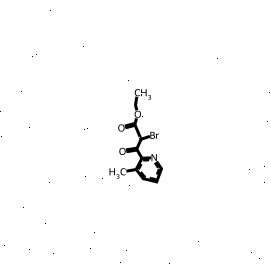 CCOC(=O)C(Br)C(=O)c1ncccc1C